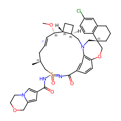 CO[C@H]1/C=C/C[C@H](C)CS(=O)(NC(=O)c2cc3n(c2)CCOC3)=NC(=O)c2ccc3c(c2)N(C[C@@H]2CC[C@H]21)C[C@@]1(CCCc2cc(Cl)ccc21)CO3